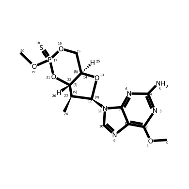 COc1nc(N)nc2c1ncn2[C@@H]1O[C@@H]2COP(=S)(OC)O[C@H]2[C@@H]1C